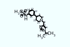 CC(C)n1cc(CN2CCC(c3cccc(NS(C)(=O)=O)c3)CC2)nn1